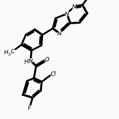 COc1ccc2nc(-c3ccc(C)c(NC(=O)c4ccc(F)cc4Cl)c3)cn2n1